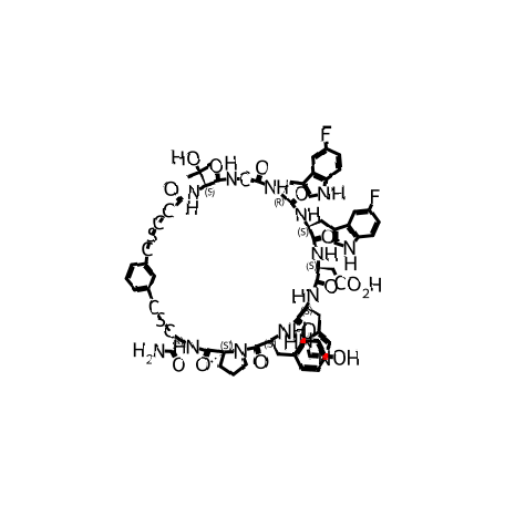 CC(C)(O)[C@@H]1NC(=O)CCSCc2cccc(c2)CSC[C@@H](C(N)=O)NC(=O)[C@]2(C)CCCN2C(=O)[C@H](Cc2ccc(O)cc2)NC(=O)[C@H](Cc2cnc[nH]2)NC(=O)[C@H](CC(=O)O)NC(=O)[C@H](Cc2c[nH]c3ccc(F)cc23)NC(=O)[C@@H](Cc2c[nH]c3ccc(F)cc23)NC(=O)CNC1=O